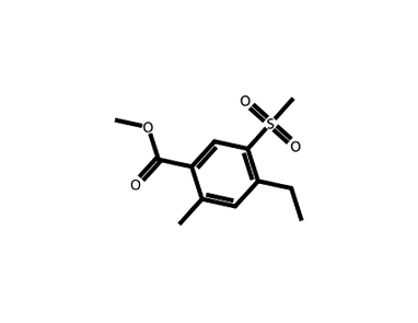 CCc1cc(C)c(C(=O)OC)cc1S(C)(=O)=O